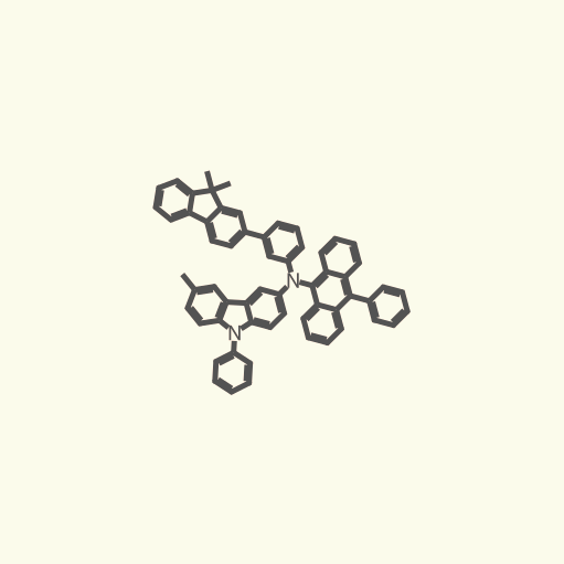 Cc1ccc2c(c1)c1cc(N(c3cccc(-c4ccc5c(c4)C(C)(C)c4ccccc4-5)c3)c3c4ccccc4c(-c4ccccc4)c4ccccc34)ccc1n2-c1ccccc1